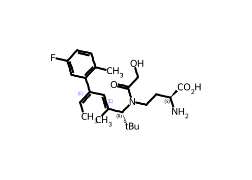 C/C=C(\C=C(/C)[C@H](N(CC[C@H](N)C(=O)O)C(=O)CO)C(C)(C)C)c1cc(F)ccc1C